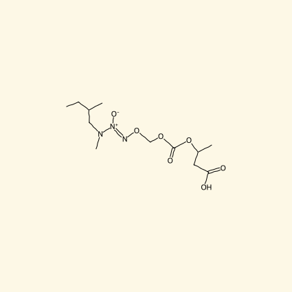 CCC(C)CN(C)[N+]([O-])=NOCOC(=O)OC(C)CC(=O)O